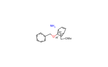 COC[C@@H]1C2=CC(OCc3ccccc3)=C1C=C2.N